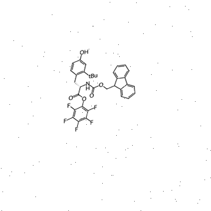 CC(C)(C)c1cc(O)ccc1C[C@H](NC(=O)OCC1c2ccccc2-c2ccccc21)C(=O)Oc1c(F)c(F)c(F)c(F)c1F